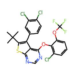 CC(C)(C)c1sc2ncnc(Oc3c(Cl)cccc3OC(F)(F)F)c2c1-c1ccc(Cl)c(Cl)c1